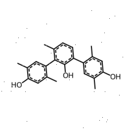 Cc1cc(-c2ccc(C)c(-c3cc(C)c(O)cc3C)c2O)c(C)cc1O